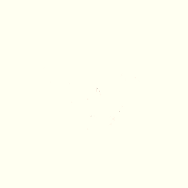 CSSCCC(NC(=O)OC(C)(C)C)C(=O)O